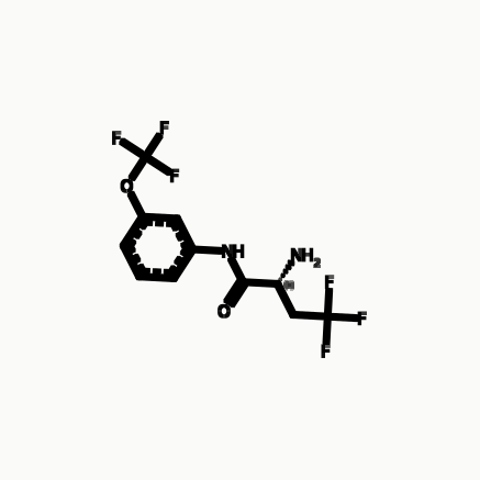 N[C@H](CC(F)(F)F)C(=O)Nc1cccc(OC(F)(F)F)c1